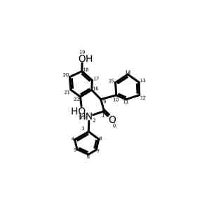 O=C(Nc1ccccc1)C(c1ccccc1)c1cc(O)ccc1O